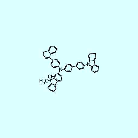 CC1(C)c2ccccc2-c2ccc(N(c3ccc(-c4ccc(-n5c6ccccc6c6ccccc65)cc4)cc3)c3ccc(-c4cccc5ccccc45)cc3)cc21